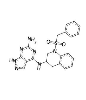 Nc1nc(NC2Cc3ccccc3N(S(=O)(=O)Cc3ccccc3)C2)c2cn[nH]c2n1